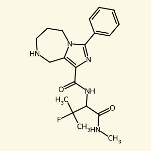 CNC(=O)C(NC(=O)c1nc(-c2ccccc2)n2c1CNCCC2)C(C)(C)F